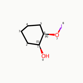 O[C@H]1CCCC[C@H]1OI